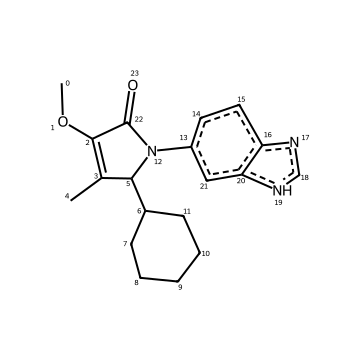 COC1=C(C)C(C2CCCCC2)N(c2ccc3nc[nH]c3c2)C1=O